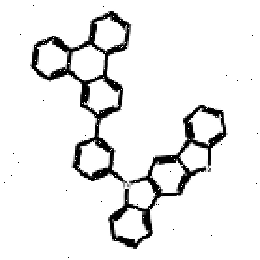 c1cc(-c2ccc3c4ccccc4c4ccccc4c3c2)cc(-n2c3ccccc3c3cc4sc5ccccc5c4cc32)c1